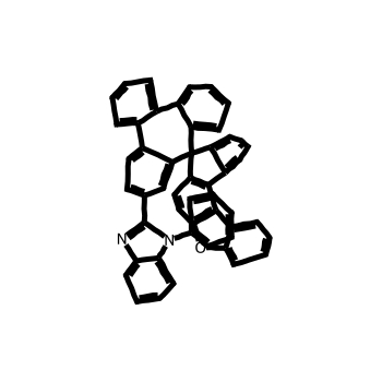 c1ccc(-n2c(-c3ccc4c(c3)C3(c5ccccc5-c5ccccc5-4)c4ccccc4-c4c3ccc3oc5ccccc5c43)nc3ccccc32)cc1